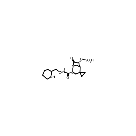 O=C(NOCC1CCCCN1)[C@@H]1CC2(CC2)C2CN1C(=O)N2OS(=O)(=O)O